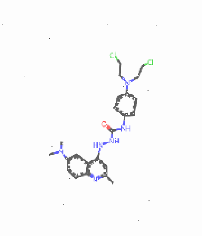 Cc1cc(NNC(=O)Nc2ccc(N(CCCl)CCCl)cc2)c2cc(N(C)C)ccc2n1